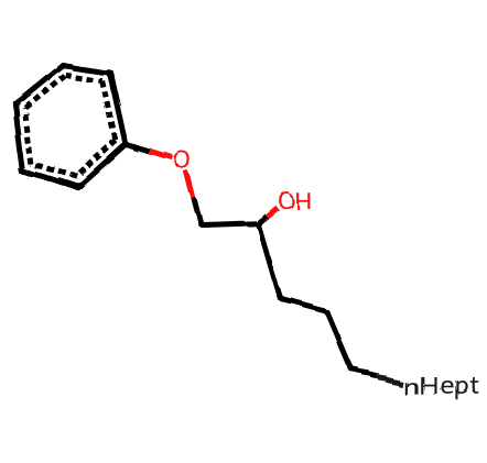 CCCCCCCCCCC(O)COc1ccccc1